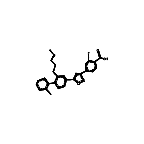 COCCCc1cc(-c2nc(-c3ccc(C(=O)O)c(F)c3)no2)ccc1-c1ccccc1C